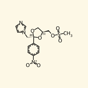 CS(=O)(=O)OC[C@@H]1CO[C@](Cn2ccnc2)(c2ccc([N+](=O)[O-])cc2)O1